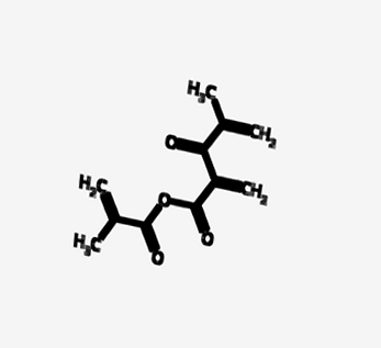 C=C(C)C(=O)OC(=O)C(=C)C(=O)C(=C)C